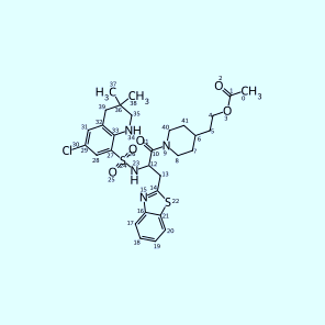 CC(=O)OCCC1CCN(C(=O)C(Cc2nc3ccccc3s2)NS(=O)(=O)c2cc(Cl)cc3c2NCC(C)(C)C3)CC1